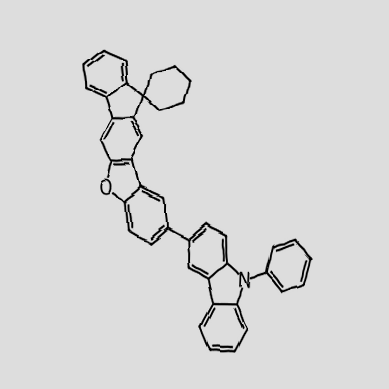 c1ccc(-n2c3ccccc3c3cc(-c4ccc5oc6cc7c(cc6c5c4)C4(CCCCC4)c4ccccc4-7)ccc32)cc1